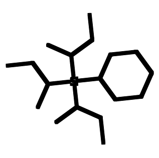 CCC(C)[Si](C(C)CC)(C(C)CC)C1CCCCC1